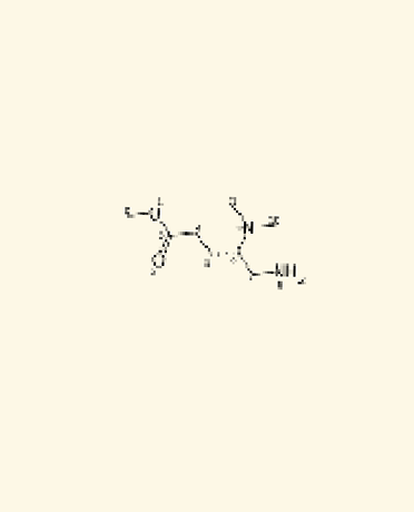 COC(=O)CC[C@@H](CN)N(C)C